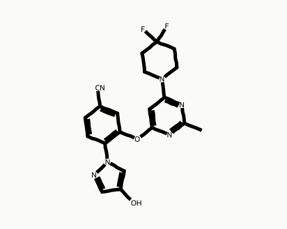 Cc1nc(Oc2cc(C#N)ccc2-n2cc(O)cn2)cc(N2CCC(F)(F)CC2)n1